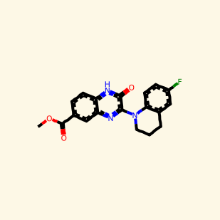 COC(=O)c1ccc2[nH]c(=O)c(N3CCCc4cc(F)ccc43)nc2c1